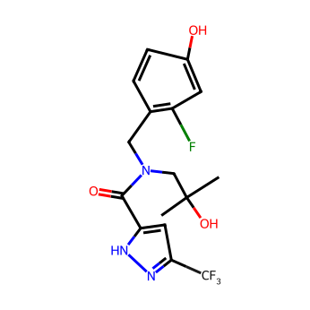 CC(C)(O)CN(Cc1ccc(O)cc1F)C(=O)c1cc(C(F)(F)F)n[nH]1